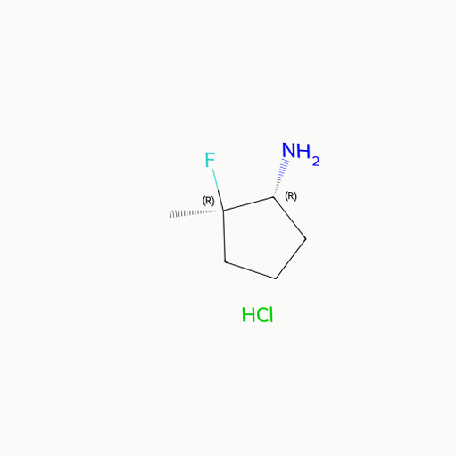 C[C@@]1(F)CCC[C@H]1N.Cl